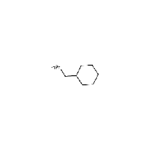 CC[CH]CC1CCCCC1